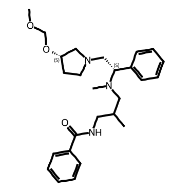 COCO[C@H]1CCN(C[C@H](c2ccccc2)N(C)CC(C)CNC(=O)c2ccccc2)C1